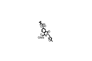 COC(=O)c1nn(Cc2cc(C)on2)c(=O)c2cc(S(=O)(=O)NC3(C)CC3)ccc12